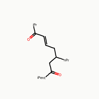 CCCC(C/C=C/C(=O)C(C)C)CC(=O)C(C)CCC